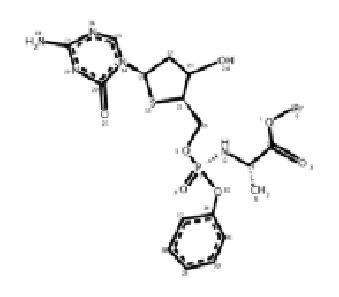 CC(C)OC(=O)[C@H](C)N[P@](=O)(OC[C@H]1S[C@@H](n2cnc(N)nc2=O)CC1O)Oc1ccccc1